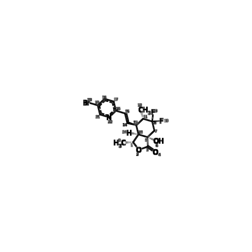 C[C@H]1OC(=O)[C@]2(O)CC(F)(F)[C@@H](C)[C@H](/C=C/c3ccc(Br)cn3)[C@H]12